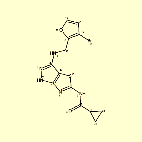 O=C(Nc1nc2[nH]nc(NCc3occc3Br)c2s1)C1CC1